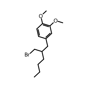 CCCCC(CBr)Cc1ccc(OC)c(OC)c1